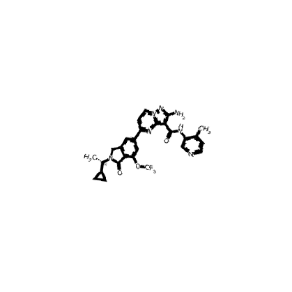 Cc1ccncc1NC(=O)c1c(N)nn2ccc(-c3cc4c(c(OC(F)(F)F)c3)C(=O)N([C@@H](C)C3CC3)C4)nc12